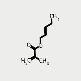 C=C(C)C(=O)OCC=CCC